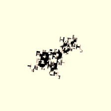 Cc1cc(Nc2cc(N3CCN(C(C)(C)CF)CC3)nc(Sc3cc(F)c4nc(C)ccc4c3)n2)[nH]n1